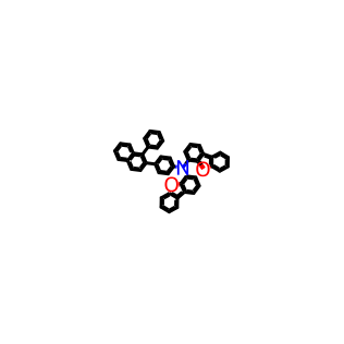 c1ccc(-c2c(-c3ccc(N(c4cccc5c4oc4ccccc45)c4cccc5c4oc4ccccc45)cc3)ccc3ccccc23)cc1